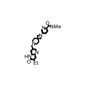 CCc1cc2ncc(CN3CCC4(CC3)CN(c3ccc(C(=O)NC)nc3)C4)cc2[nH]c1=O